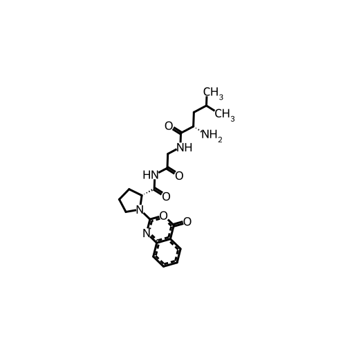 CC(C)C[C@H](N)C(=O)NCC(=O)NC(=O)[C@H]1CCCN1c1nc2ccccc2c(=O)o1